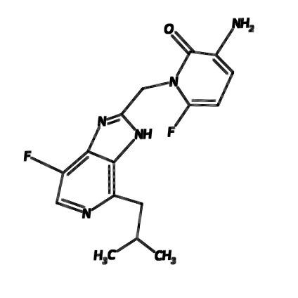 CC(C)Cc1ncc(F)c2nc(Cn3c(F)ccc(N)c3=O)[nH]c12